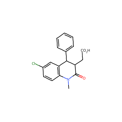 CN1C(=O)C(CC(=O)O)C(c2ccccc2)c2cc(Cl)ccc21